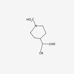 N#CC(C=O)C1CCN(C(=O)O)CC1